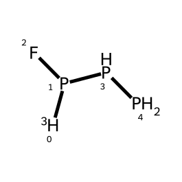 [3H]P(F)PP